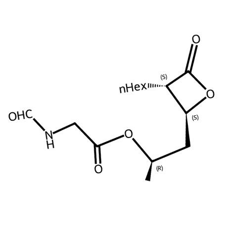 CCCCCC[C@@H]1C(=O)O[C@H]1C[C@@H](C)OC(=O)CNC=O